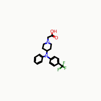 O=C(O)CN1CCC(N(c2ccccc2)c2ccc(C(F)(F)F)cc2)CC1